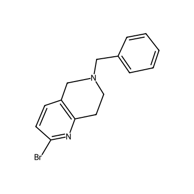 Brc1ccc2c(n1)CCN(Cc1ccccc1)C2